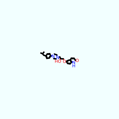 CC(C)Cc1ccc(N2CCN(CC(O)COc3ccc4[nH]c(=O)ccc4c3)CC2)cc1